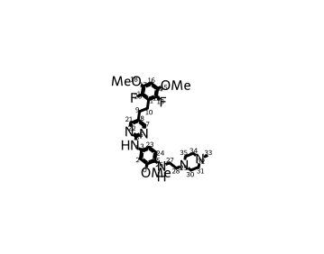 COc1cc(Nc2ncc(CCc3c(F)c(OC)cc(OC)c3F)cn2)ccc1NCCN1CCN(C)CC1